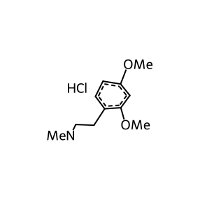 CNCCc1ccc(OC)cc1OC.Cl